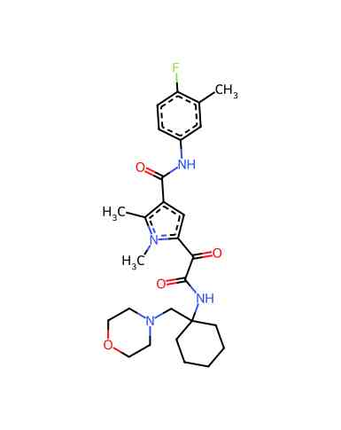 Cc1cc(NC(=O)c2cc(C(=O)C(=O)NC3(CN4CCOCC4)CCCCC3)n(C)c2C)ccc1F